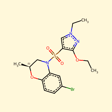 CCOc1nn(CC)cc1S(=O)(=O)N1C[C@H](C)Oc2ccc(Br)cc21